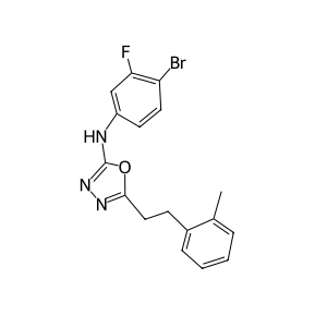 Cc1ccccc1CCc1nnc(Nc2ccc(Br)c(F)c2)o1